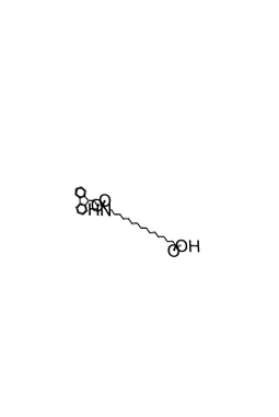 O=C(O)CCCCCCCCCCCCCCCNC(=O)OCC1c2ccccc2-c2ccccc21